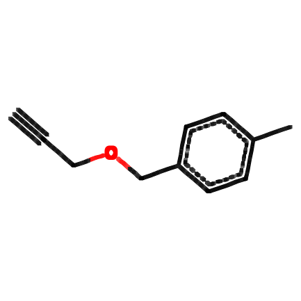 C#CCOCc1ccc(C)cc1